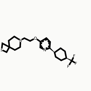 FC(F)(F)[C@H]1CC[C@@H](c2ccc(OCCN3CCC4(CC3)CSC4)cn2)CC1